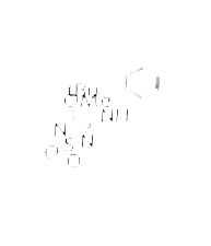 COC1=NS(=O)(=O)N=C1NC(c1ccccc1)C(C)(C)C